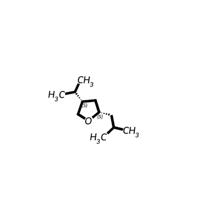 CC(C)C[C@H]1C[C@@H](C(C)C)CO1